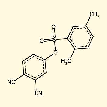 Cc1ccc(C)c(S(=O)(=O)Oc2ccc(C#N)c(C#N)c2)c1